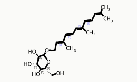 CC(C)=C/C=C/C(C)=C/C=C/C(C)=C/COC1O[C@H](CO)[C@@H](O)[C@H](O)[C@H]1O